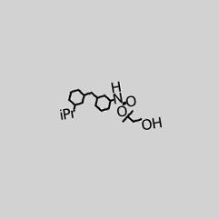 CC(C)C1CCCC(CC2CCCC(NC(=O)OC(C)(C)CCO)C2)C1